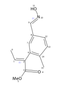 C/C=C(/C(=O)OC)c1cc(/C=N/O)ccc1C